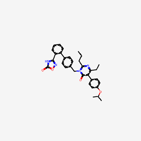 CCCc1nc(CC)c(-c2ccc(OC(C)C)cc2)c(=O)n1Cc1ccc(-c2ccccc2-c2noc(=O)[nH]2)cc1